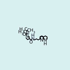 CC(C)(C)OC(=O)N1CCC(C(=O)NCCCc2ccc3c(n2)NCCC3)C1